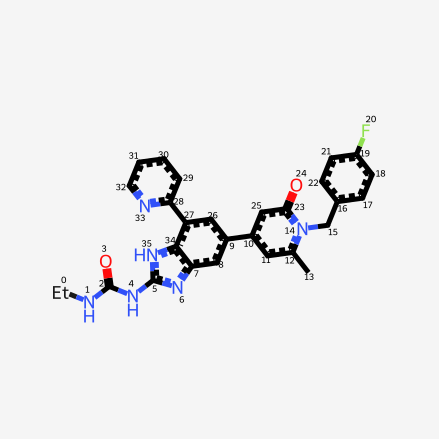 CCNC(=O)Nc1nc2cc(-c3cc(C)n(Cc4ccc(F)cc4)c(=O)c3)cc(-c3ccccn3)c2[nH]1